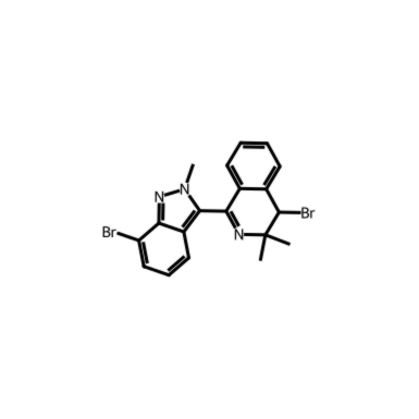 Cn1nc2c(Br)cccc2c1C1=NC(C)(C)C(Br)c2ccccc21